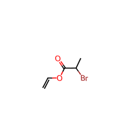 C=COC(=O)C(C)Br